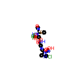 CN(CC(=O)NC(c1ccccc1-c1ccc(Cl)cc1)C1CCN(c2ccc(C(=O)NS(=O)(=O)c3ccc(N[C@H](CCN4CCOCC4)CSc4ccccc4)c(S(=O)(=O)C(F)(F)F)c3)cc2)CC1)C(=O)O